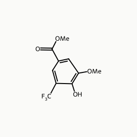 COC(=O)c1cc(OC)c(O)c(C(F)(F)F)c1